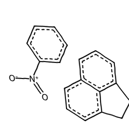 O=[N+]([O-])c1ccccc1.c1cc2c3c(cccc3c1)CC2